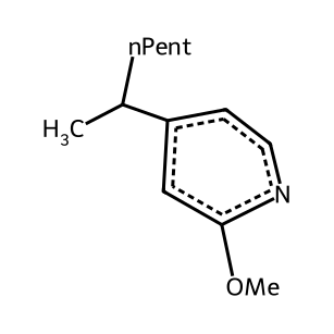 CCCCCC(C)c1ccnc(OC)c1